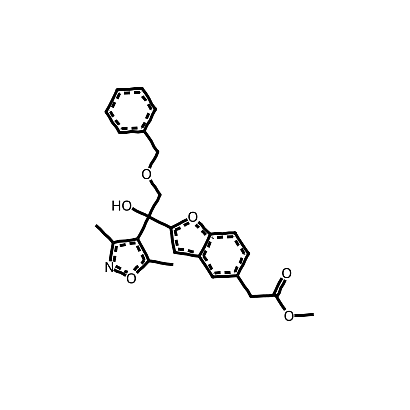 COC(=O)Cc1ccc2oc(C(O)(COCc3ccccc3)c3c(C)noc3C)cc2c1